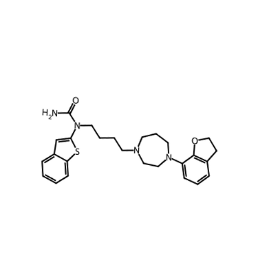 NC(=O)N(CCCCN1CCCN(c2cccc3c2OCC3)CC1)c1cc2ccccc2s1